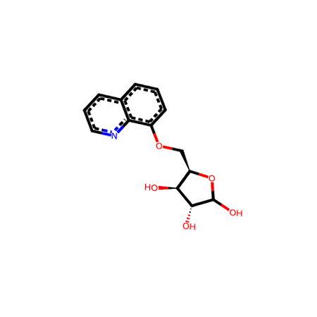 OC1O[C@H](COc2cccc3cccnc23)[C@H](O)[C@H]1O